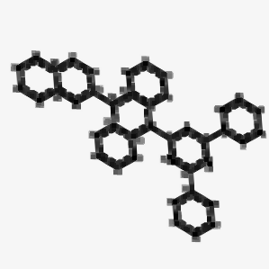 c1ccc(-c2cc(-c3c4ccccc4c(-c4ccc5ccccc5c4)c4ccccc34)nc(-c3ccccc3)n2)cc1